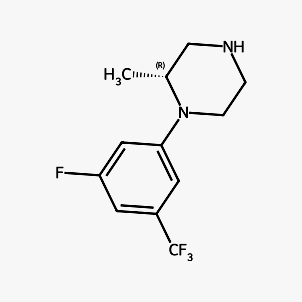 C[C@@H]1CNCCN1c1cc(F)cc(C(F)(F)F)c1